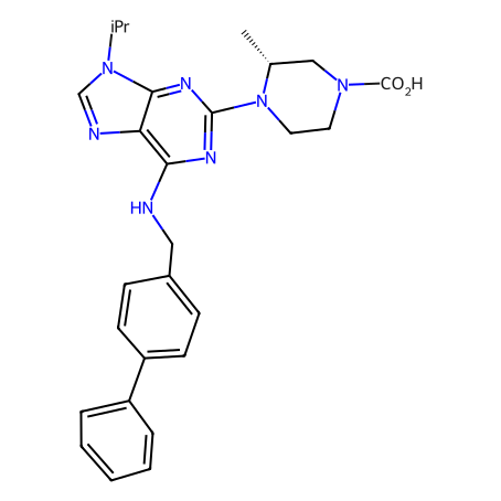 CC(C)n1cnc2c(NCc3ccc(-c4ccccc4)cc3)nc(N3CCN(C(=O)O)C[C@H]3C)nc21